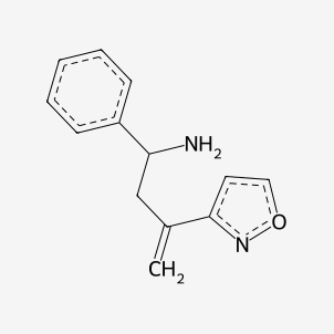 C=C(CC(N)c1ccccc1)c1ccon1